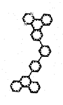 c1cc(-c2ccc(-c3cc4ccccc4c4ccccc34)cc2)cc(-c2ccc3c(c2)c2ccccc2c2nccnc32)c1